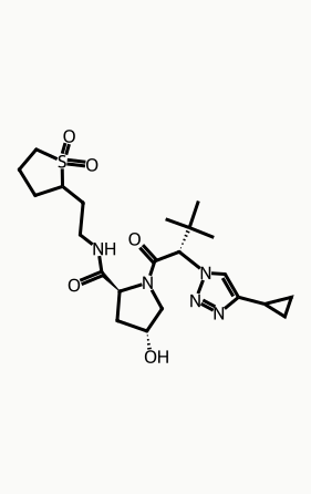 CC(C)(C)[C@@H](C(=O)N1C[C@H](O)C[C@H]1C(=O)NCCC1CCCS1(=O)=O)n1cc(C2CC2)nn1